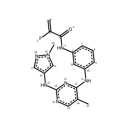 C=C(F)C(=O)Nc1cccc(Nc2nc(Nc3cnn(C)c3)ncc2C)c1